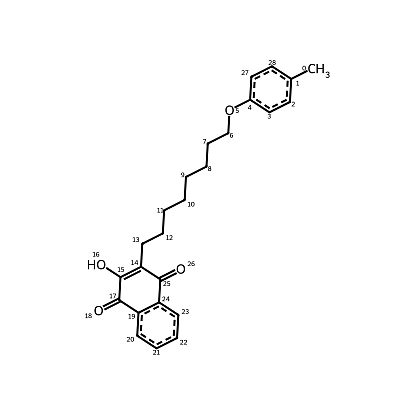 Cc1ccc(OCCCCCCCCC2=C(O)C(=O)c3ccccc3C2=O)cc1